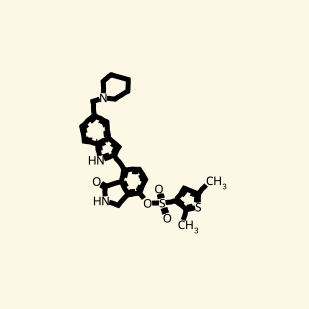 Cc1cc(S(=O)(=O)Oc2ccc(-c3cc4cc(CN5CCCCC5)ccc4[nH]3)c3c2CNC3=O)c(C)s1